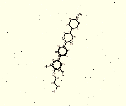 CCCC1CCC(C2COC(c3ccc(-c4cc(F)c(OCCCF)c(F)c4)cc3)OC2)CC1